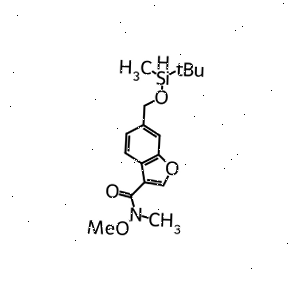 CON(C)C(=O)c1coc2cc(CO[SiH](C)C(C)(C)C)ccc12